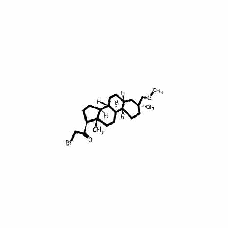 COC[C@@]1(O)CC[C@H]2[C@H](CC[C@@H]3[C@@H]2CC[C@]2(C)[C@@H](C(=O)CBr)CC[C@@H]32)C1